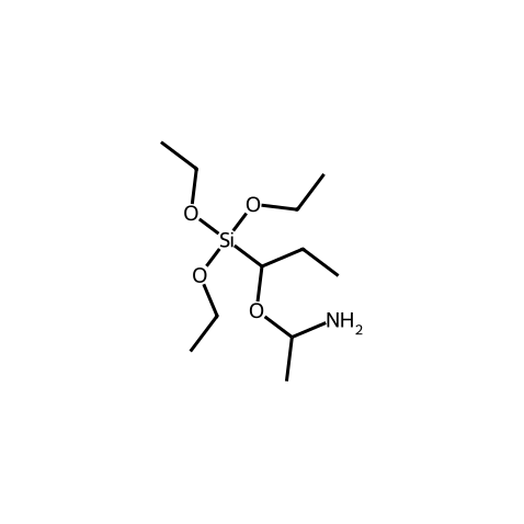 CCO[Si](OCC)(OCC)C(CC)OC(C)N